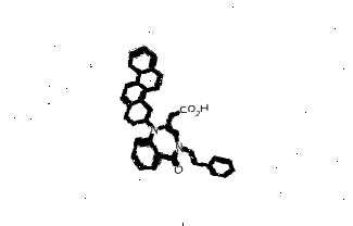 O=C(O)CC1=CN(C=Cc2ccccc2)C(=O)c2ccccc2N1C1CCc2ccc3c(ccc4ccccc43)c2C1